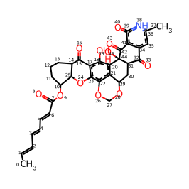 C/C=C/C=C/C=C/C(=O)OC1CCCC2C(=O)c3c(O)c4c5c(c3OC12)OCOC5CC1C(=O)c2cc(C)[nH]c(=O)c2C(=O)C41O